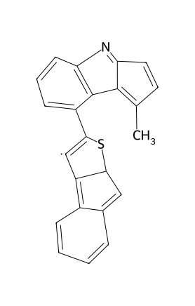 CC1=C2C(=Nc3cccc(C4=[C]C5=c6ccccc6=CC5S4)c32)C=C1